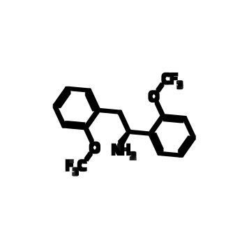 N[C@@H](Cc1ccccc1OC(F)(F)F)c1ccccc1OC(F)(F)F